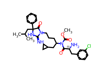 COC(=O)N(C(=O)[C@@H](N)Cc1cccc(Cl)c1)C(CCCN1C(=N)NC(CC(C)C)(c2ccccc2)C1=O)CC1CC1